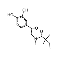 CCC(C)(C)C(=O)N(C)CC(=O)c1ccc(O)c(O)c1